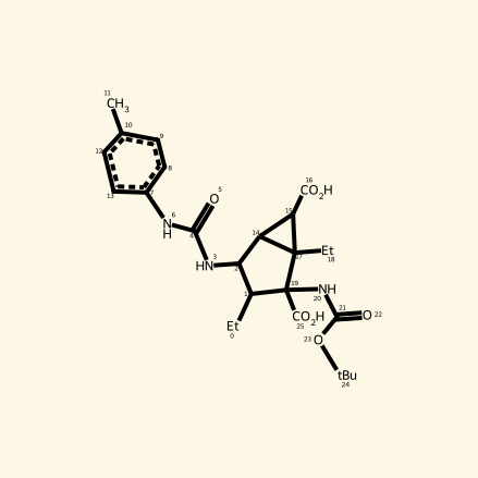 CCC1C(NC(=O)Nc2ccc(C)cc2)C2C(C(=O)O)C2(CC)C1(NC(=O)OC(C)(C)C)C(=O)O